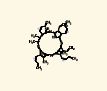 C=C/C=C\C1=C(C=C)c2nc3[nH]c(nc(=N)c(/C=C\C=C)c(C)c(C)nc4[nH]c(nc1c2C)c(C)c4/C=C\C=C)c(C=C)c3/C=C\C=C